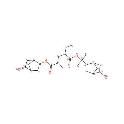 CCC(CC(C)C(=O)OC1CC2CC1CC2=O)C(=O)OC(C)(C)C1CC2CC1CC2O